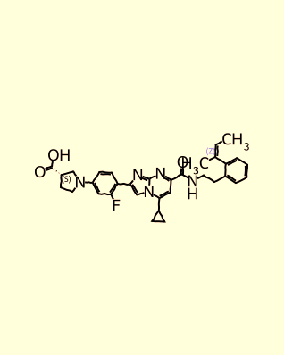 C/C=C(/C)c1ccccc1CCNC(=O)c1cc(C2CC2)n2cc(-c3ccc(N4CC[C@H](C(=O)O)C4)cc3F)nc2n1